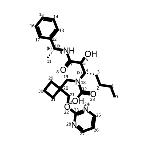 CCCC[C@@H](C(O)C(=O)N[C@H](C)c1ccccc1)N(CC1(COc2ncccn2)CCC1)C(=O)O